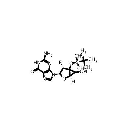 CC(C)(C)[Si](C)(C)OC12C(O)[C@H]1O[C@@H](n1cnc3c(=O)[nH]c(N)nc31)[C@@H]2F